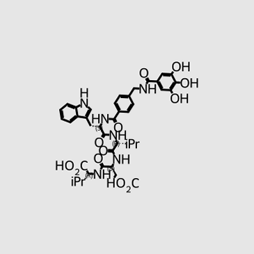 CC(C)[C@@H](NC(=O)[C@H](CC(=O)O)NC(=O)[C@H](NC(=O)[C@H](Cc1c[nH]c2ccccc12)NC(=O)c1ccc(CNC(=O)c2cc(O)c(O)c(O)c2)cc1)C(C)C)C(=O)O